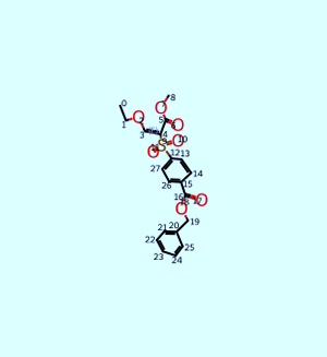 CCO/C=C(\C(=O)OC)S(=O)(=O)c1ccc(C(=O)OCc2ccccc2)cc1